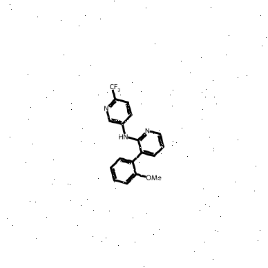 COc1ccccc1-c1cccnc1Nc1ccc(C(F)(F)F)nc1